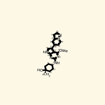 COc1nc(N[C@H]2CC[C@@](C)(O)CC2)nc2[nH]cc(-c3ccn4nccc4c3)c12